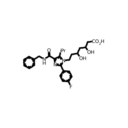 CC(C)c1c(C(=O)NCc2ccccc2)nc(-c2ccc(F)cc2)n1CCC(O)CC(O)CC(=O)O